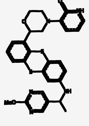 COc1ncc(C(C)Nc2ccc3c(c2)Sc2cccc(C4CN(c5ccc[nH]c5=O)CCO4)c2S3)cn1